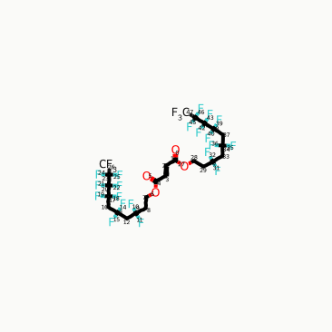 O=C(C=CC(=O)OCCC(F)(F)CC(F)(F)CC(F)(F)C(F)(F)C(F)(F)C(F)(F)F)OCCC(F)(F)CC(F)(F)CC(F)(F)C(F)(F)C(F)(F)C(F)(F)F